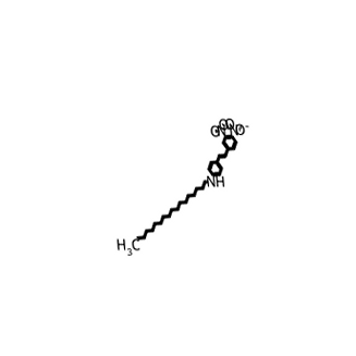 CCCCCCCCCCCCCCCCCCNc1ccc(C=Cc2ccc([N+](=O)[O-])c([N+](=O)[O-])c2)cc1